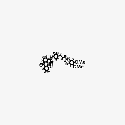 COc1cc2c(cc1OC)CN(CCCc1ccc(NC(=O)c3cccc4c(=O)c5cccc(C)c5[nH]c34)cc1)CC2